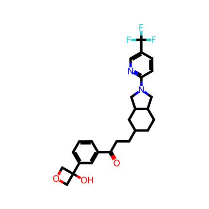 O=C(CCC1CCC2CN(c3ccc(C(F)(F)F)cn3)CC2C1)c1cccc(C2(O)COC2)c1